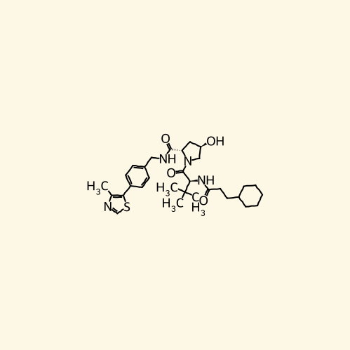 Cc1ncsc1-c1ccc(CNC(=O)[C@@H]2C[C@@H](O)CN2C(=O)[C@@H](NC(=O)CCC2CCCCC2)C(C)(C)C)cc1